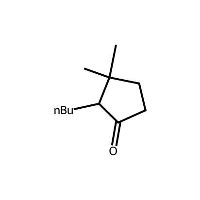 CCCCC1C(=O)CCC1(C)C